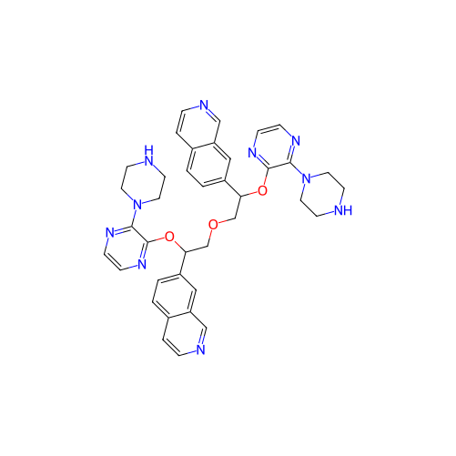 c1cc2ccc(C(COCC(Oc3nccnc3N3CCNCC3)c3ccc4ccncc4c3)Oc3nccnc3N3CCNCC3)cc2cn1